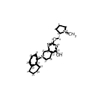 CN1CCC[C@H]1COc1nc(O)c2c(n1)CN(c1cccc3c1CCCC3)CC2